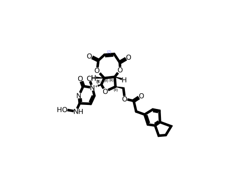 C[N+]1([C@@H]2O[C@H](COC(=O)Cc3ccc4c(c3)CCC4)[C@H]3OC(=O)/C=C\C(=O)O[C@H]32)C=CC(NO)=NC1=O